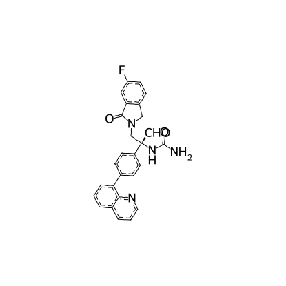 NC(=O)N[C@@](C=O)(CN1Cc2ccc(F)cc2C1=O)c1ccc(-c2cccc3cccnc23)cc1